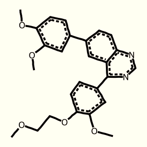 COCCOc1ccc(-c2ncnc3ccc(-c4ccc(OC)c(OC)c4)cc23)cc1OC